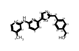 Cc1ccnc(Nc2cccc(-c3cnc(Cc4ccc(CO)cc4)s3)n2)c1